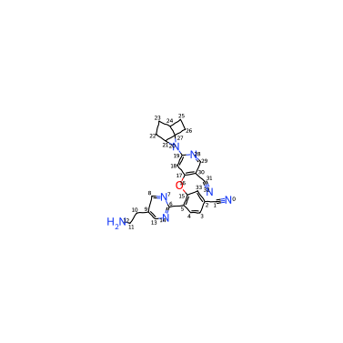 N#Cc1ccc(-c2ncc(CCN)cn2)c(Oc2cc(N3C4CCC5CCC543)ncc2C#N)c1